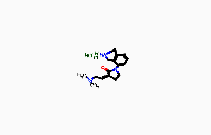 CN(C)CC=C1CCN(c2cccc3c2CNC3)C1=O.Cl.Cl